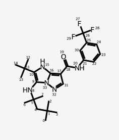 CC(C)(C)CC(C)(C)Nc1c(C(C)(C)C)[nH]c2c(C(=O)Nc3cccc(C(F)(F)F)c3)cnn12